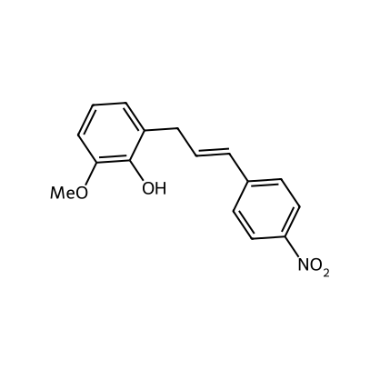 COc1cccc(CC=Cc2ccc([N+](=O)[O-])cc2)c1O